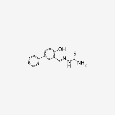 NC(=S)N/N=C/c1cc(-c2ccccc2)ccc1O